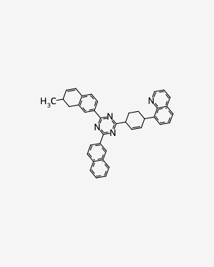 CC1C=Cc2ccc(-c3nc(-c4ccc5ccccc5c4)nc(C4C=CC(c5cccc6cccnc56)CC4)n3)cc2C1